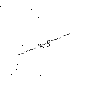 CCCCCCCCCCCCCCCOC(=O)CCCC(=O)OCCCCCCCCCCCCCCC